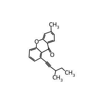 CCC(C)C#Cc1cccc2oc3cc(C)ccc3c(=O)c12